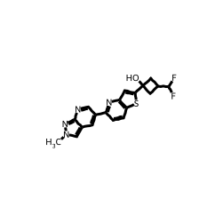 Cn1cc2cc(-c3ccc4sc(C5(O)CC(C(F)F)C5)cc4n3)cnc2n1